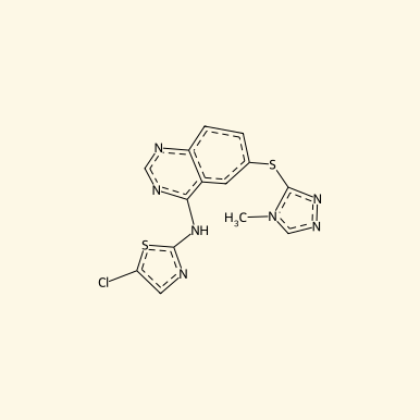 Cn1cnnc1Sc1ccc2ncnc(Nc3ncc(Cl)s3)c2c1